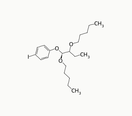 CCCCCOC(CC)[C@@H](OCCCCC)Oc1ccc(I)cc1